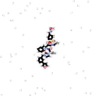 CC[C@H](C)[C@@H](C(=O)N[C@@H](Cc1ccccc1)[C@H](O)CN(CC(C)C)S(=O)(=O)c1ccc(/C=N/O)cc1)N1CCN(Cc2cccc(-c3ccoc3)c2)C1=O